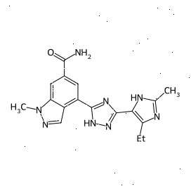 CCc1nc(C)[nH]c1-c1n[nH]c(-c2cc(C(N)=O)cc3c2cnn3C)n1